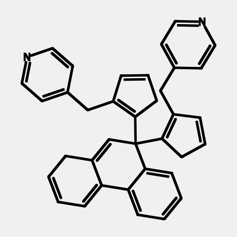 C1=CCC2=CC(C3=C(Cc4ccncc4)C=CC3)(C3=C(Cc4ccncc4)C=CC3)c3ccccc3C2=C1